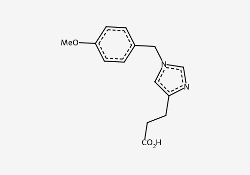 COc1ccc(Cn2cnc(CCC(=O)O)c2)cc1